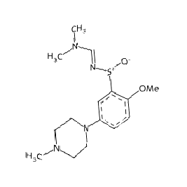 COc1ccc(N2CCN(C)CC2)cc1[S+]([O-])/N=C/N(C)C